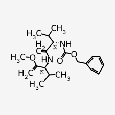 C=C(N[C@H](C(=C)OC)C(C)C)[C@@H](NC(=O)OCc1ccccc1)C(C)C